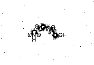 O=C1CCC(N2Cc3cc(CNC(=O)C(F)(F)c4cccc(O)c4)ccc3C2=O)C(=O)N1